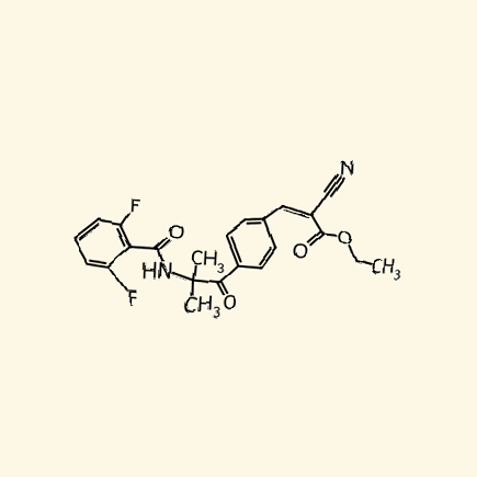 CCOC(=O)C(C#N)=Cc1ccc(C(=O)C(C)(C)NC(=O)c2c(F)cccc2F)cc1